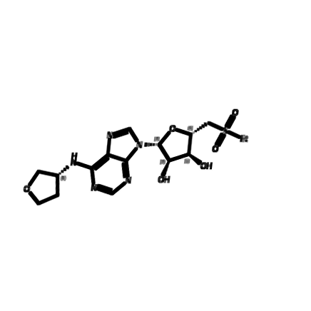 CCS(=O)(=O)C[C@H]1O[C@@H](n2cnc3c(N[C@@H]4CCOC4)ncnc32)[C@H](O)[C@@H]1O